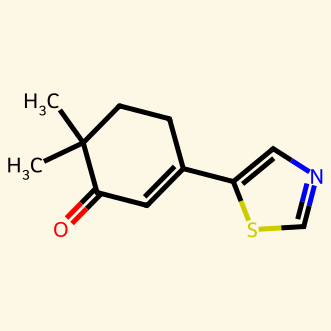 CC1(C)CCC(c2cncs2)=CC1=O